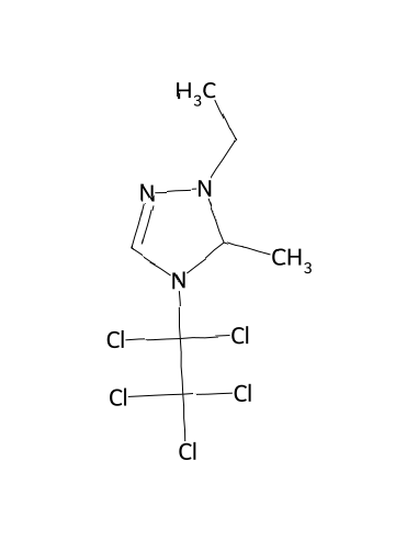 CCN1N=CN(C(Cl)(Cl)C(Cl)(Cl)Cl)C1C